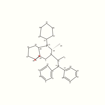 CCCC(C(C)P(c1ccccc1)c1ccccc1)[C@@H](C)P(C1CCCCC1)C1CCCCC1